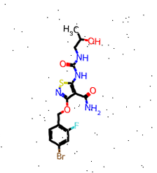 CC(O)CNC(=O)Nc1snc(OCc2ccc(Br)cc2F)c1C(N)=O